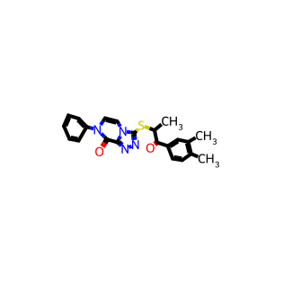 Cc1ccc(C(=O)C(C)Sc2nnc3c(=O)n(-c4ccccc4)ccn23)cc1C